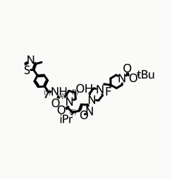 Cc1ncsc1-c1ccc([C@H](C)NC(=O)[C@@H]2C[C@@H](O)CN2C(=O)[C@@H](c2cc(N3CCN(CC4(F)CCN(C(=O)OC(C)(C)C)CC4)CC3)no2)C(C)C)cc1